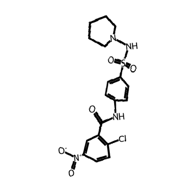 O=C(Nc1ccc(S(=O)(=O)NN2CCCCC2)cc1)c1cc([N+](=O)[O-])ccc1Cl